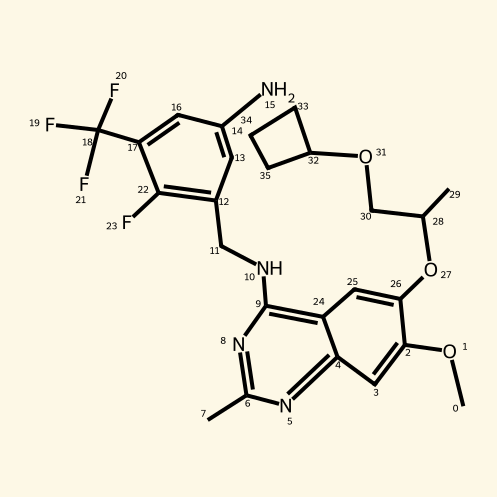 COc1cc2nc(C)nc(NCc3cc(N)cc(C(F)(F)F)c3F)c2cc1OC(C)COC1CCC1